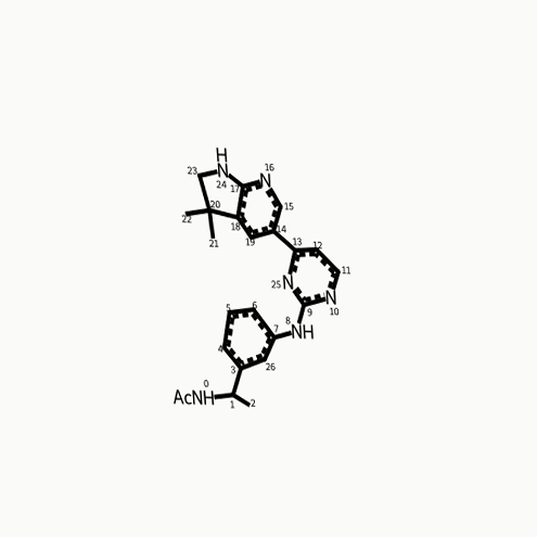 CC(=O)NC(C)c1cccc(Nc2nccc(-c3cnc4c(c3)C(C)(C)CN4)n2)c1